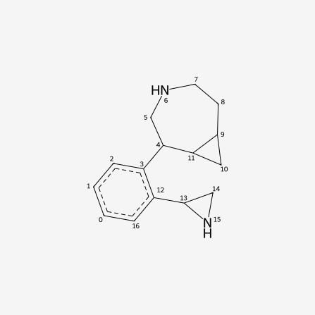 c1ccc(C2CNCCC3CC32)c(C2CN2)c1